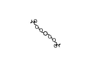 C=C(C)C(=O)CCOCCOCC1CCC(COCCOCCC(=O)C(=C)C)CC1